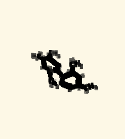 Cc1ccc(-c2cc(C)c(C)c[n+]2C)c(C)c1